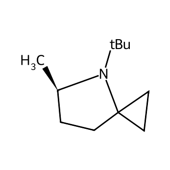 C[C@@H]1CCC2(CC2)N1C(C)(C)C